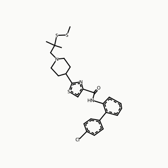 CSSC(C)(C)CN1CCC(c2nc(C(=O)Nc3ccccc3-c3ccc(Cl)cc3)cs2)CC1